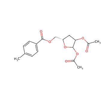 CC(=O)OC1C[C@@H](COC(=O)c2ccc(C)cc2)OC1OC(C)=O